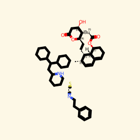 C1CCC(C(CC2CCCCN2)C2CCCCC2)CC1.CC[C@H](C)C(=O)O[C@H]1CCC=C2C=C[C@H](C)[C@H](CC[C@@H]3C[C@@H](O)CC(=O)O3)[C@H]21.S=C=NCCc1ccccc1